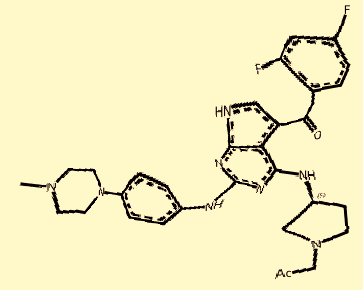 CC(=O)CN1CC[C@H](Nc2nc(Nc3ccc(N4CCN(C)CC4)cc3)nc3[nH]cc(C(=O)c4ccc(F)cc4F)c23)C1